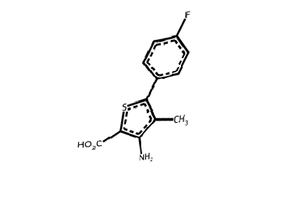 Cc1c(-c2ccc(F)cc2)sc(C(=O)O)c1N